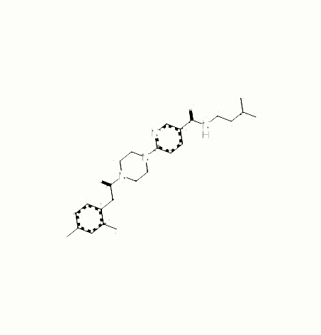 Cc1ccc(CC(=O)N2CCN(c3ccc(C(=O)NCCC(C)C)cn3)CC2)c(C)c1